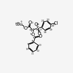 CC(C)(C)OC(=O)N(OC(=O)c1ccccc1)S(=O)(=O)c1ccc(Cl)cc1